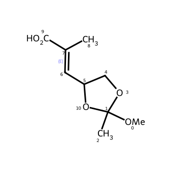 COC1(C)OCC(/C=C(\C)C(=O)O)O1